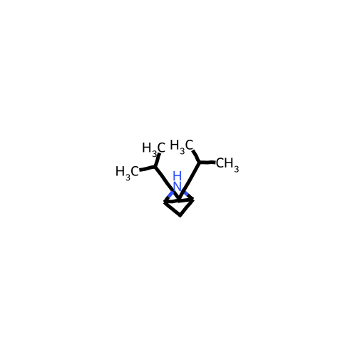 CC(C)C1C2CC(N2)C1C(C)C